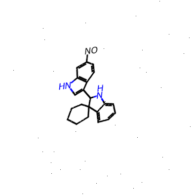 O=Nc1ccc2c(C3Nc4ccccc4C34CCCCC4)c[nH]c2c1